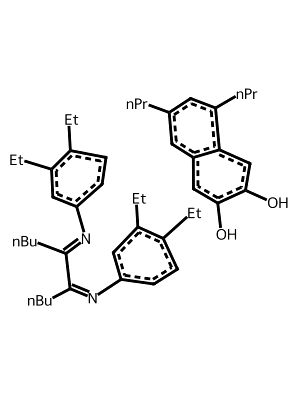 CCCCC(=Nc1ccc(CC)c(CC)c1)C(CCCC)=Nc1ccc(CC)c(CC)c1.CCCc1cc(CCC)c2cc(O)c(O)cc2c1